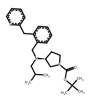 CC(C)CN(Cc1ccccc1Cc1ccccn1)[C@H]1CCN(C(=O)OC(C)(C)C)C1